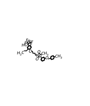 CCCc1cc(C(O)(C(F)(F)F)C(F)(F)F)ccc1OCCCCN1C(=O)C(C)N(c2cccc(OCc3ccc(C)cc3)c2)C1=O